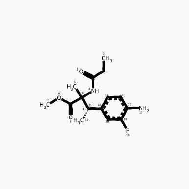 CCC(=O)NC(C)(C(=O)OC)[C@@H](C)c1ccc(N)c(F)c1